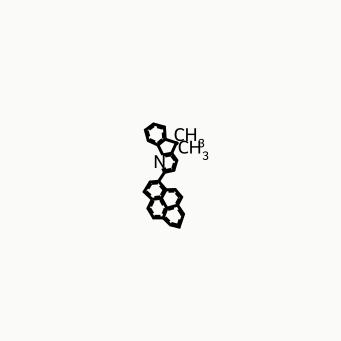 CC1(C)c2ccccc2-c2nc(-c3ccc4ccc5cccc6ccc3c4c56)ccc21